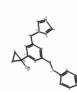 Cc1ccc(SCc2cc(Cn3cncn3)cc(C3(C#N)CC3)c2)cc1